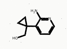 Nc1ncccc1C1(CO)CC1